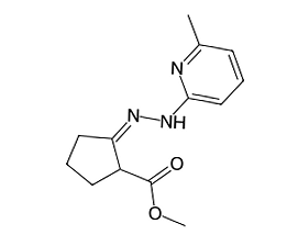 COC(=O)C1CCC/C1=N/Nc1cccc(C)n1